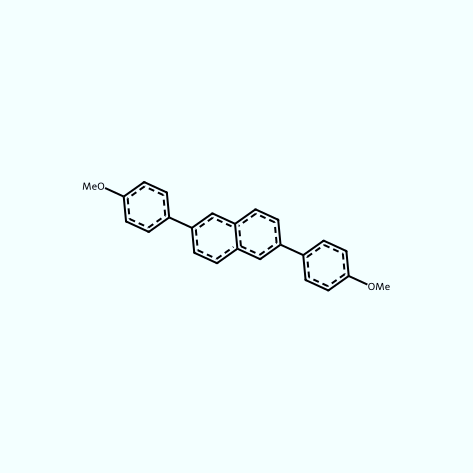 COc1ccc(-c2ccc3cc(-c4ccc(OC)cc4)ccc3c2)cc1